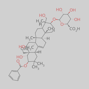 CC(=O)OC[C@@]12[C@@H](O)C[C@]3(C)C(=CC[C@@H]4[C@@]5(C)CC[C@H](O[C@@H]6O[C@H](C(=O)O)[C@@H](O)[C@H](O)[C@H]6O)[C@@](C)(CO)[C@@H]5CC[C@]43C)[C@@H]1CC(C)(C)[C@@H](OC(=O)c1ccccc1)[C@@H]2O